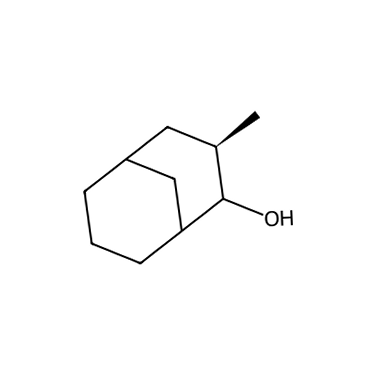 C[C@@H]1CC2CCCC(C2)C1O